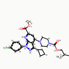 COC(=O)c1cc(N2CCN(C(=O)OCC(C)C)CC2)c2c(C3CCC3)nn(-c3ccc(F)cc3)c2n1